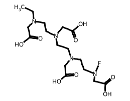 CCN(CCN(CCN(CCN(F)CC(=O)O)CC(=O)O)CC(=O)O)CC(=O)O